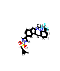 CNC1Cc2ccc(C3CN(S(=O)(=O)CC4CC4)C3)cc2C1Cc1cccc(C(F)(F)F)c1